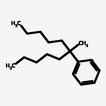 CCCCCC(C)(CCCCC)c1[c]cccc1